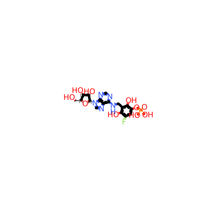 O=P(O)(O)Oc1cc(F)c(O)c(CNc2ncnc3c2ncn3[C@@H]2O[C@H](CO)[C@@H](O)[C@H]2O)c1O